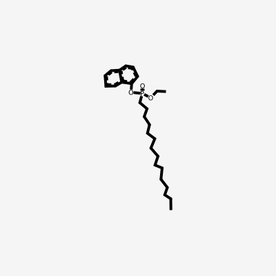 CCCCCCCCCCCCCCCP(=O)(OCC)Oc1cccc2ccccc12